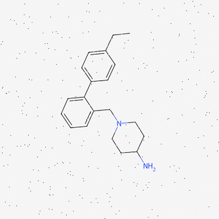 CCc1ccc(-c2ccccc2CN2CCC(N)CC2)cc1